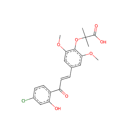 COc1cc(/C=C/C(=O)c2ccc(Cl)cc2O)cc(OC)c1OC(C)(C)C(=O)O